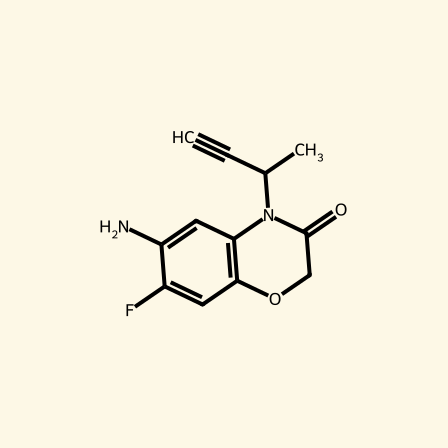 C#CC(C)N1C(=O)COc2cc(F)c(N)cc21